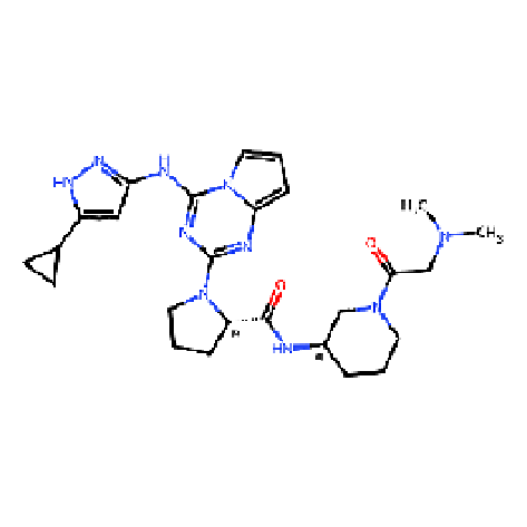 CN(C)CC(=O)N1CCC[C@@H](NC(=O)[C@@H]2CCCN2c2nc(Nc3cc(C4CC4)[nH]n3)n3cccc3n2)C1